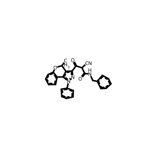 CC1Oc2ccccc2-c2c1c(C(=O)C(C#N)C(=O)NCc1ccccc1)nn2-c1ccccc1